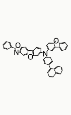 c1ccc(-c2nc3cc4oc5cc(N(c6ccc(-c7cccc8ccccc78)cc6)c6ccc7oc8ccccc8c7c6)ccc5c4cc3o2)cc1